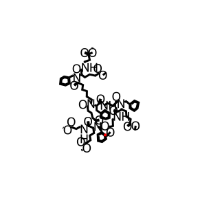 COC(=O)CCCC(C(=O)NCCC(=O)OC)N(Cc1ccccc1)C(=O)CCCCCN(C(=O)CCCC(=O)N(Cc1ccccc1)C(CCCC(=O)OC)C(=O)NCCC(=O)OC)C(Cc1ccccc1)C(=O)NCCC(=O)N(Cc1ccccc1)C(CCCC(=O)OC)C(=O)NCCC(=O)OC